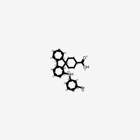 O=C(O)C1CCC2(CC1)c1ccccc1-c1cccc(Nc3cccc(Br)c3)c12